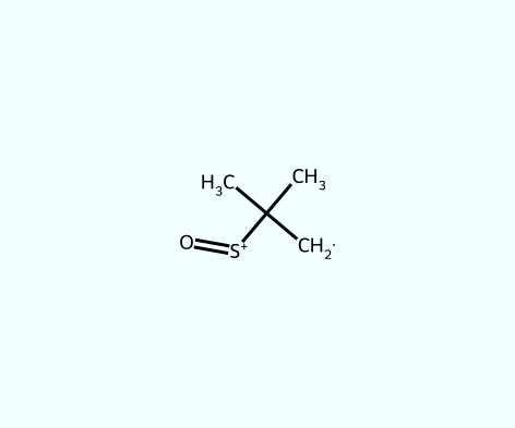 [CH2]C(C)(C)[S+]=O